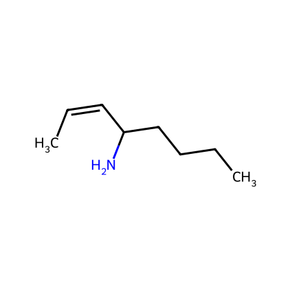 C/C=C\C(N)CCCC